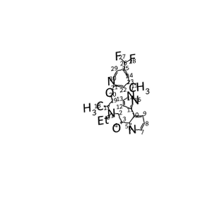 CCN(CC(=O)c1ncccc1-c1ccn(C)n1)[C@@H](C)COC1=CCC=C(C(F)F)C=N1